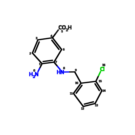 Nc1ccc(C(=O)O)cc1NCc1ccccc1Cl